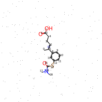 C/C(=C\CCC(=O)O)c1cccc(SC(=O)N(C)C)c1